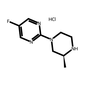 C[C@H]1CN(c2ncc(F)cn2)CCN1.Cl